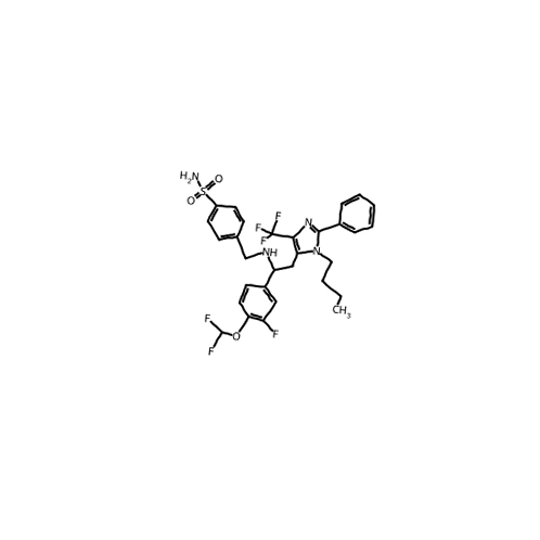 CCCCn1c(-c2ccccc2)nc(C(F)(F)F)c1CC(NCc1ccc(S(N)(=O)=O)cc1)c1ccc(OC(F)F)c(F)c1